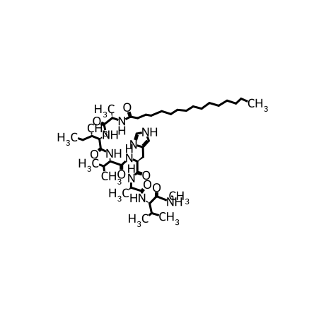 CCCCCCCCCCCCCCCC(=O)N[C@@H](C)C(=O)N[C@H](C(=O)N[C@H](C(=O)N[C@@H](Cc1c[nH]cn1)C(=O)N[C@@H](C)C(=O)N[C@H](C(=O)NC)C(C)C)C(C)C)[C@@H](C)CC